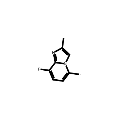 [CH2]c1ccc(F)c2nc(C)cn12